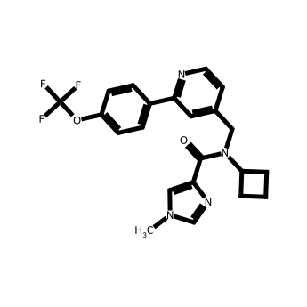 Cn1cnc(C(=O)N(Cc2ccnc(-c3ccc(OC(F)(F)F)cc3)c2)C2CCC2)c1